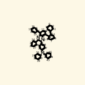 c1ccc(-c2ccccc2-c2ccc(-c3ccccc3)c3nc(-c4ccccc4)c(-c4ccc(N(c5ccccc5)c5ccccc5)cc4)nc23)cc1